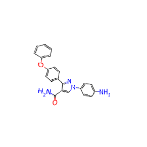 NC(=O)c1cn(-c2ccc(N)cc2)nc1-c1ccc(Oc2ccccc2)cc1